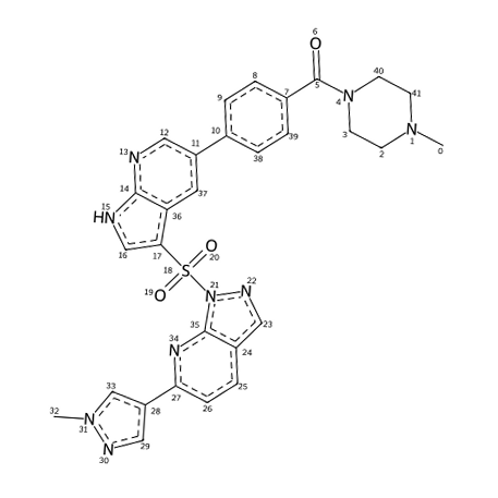 CN1CCN(C(=O)c2ccc(-c3cnc4[nH]cc(S(=O)(=O)n5ncc6ccc(-c7cnn(C)c7)nc65)c4c3)cc2)CC1